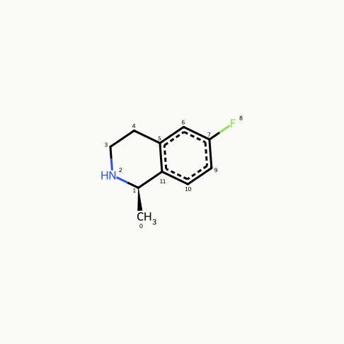 C[C@H]1NCCc2cc(F)ccc21